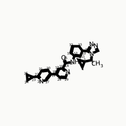 C[C@@H](C1CC1)n1cnnc1C1C=C(NC(=O)c2cc(-c3ccc(C4CC4)nc3)ccn2)C=CC1